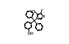 [CH2]c1ncn(C(c2ccccc2)(c2ccccc2)c2cccc(O)c2)c1Cl